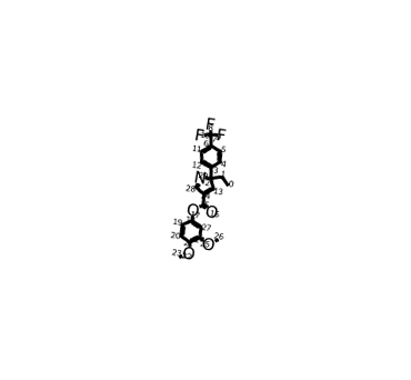 CCC1(c2ccc(C(F)(F)F)cc2)C=C(C(=O)Oc2ccc(OC)c(OC)c2)C=N1